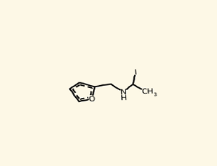 CC(I)NCc1ccco1